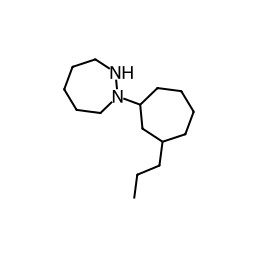 CCCC1CCCCC(N2CCCCCN2)C1